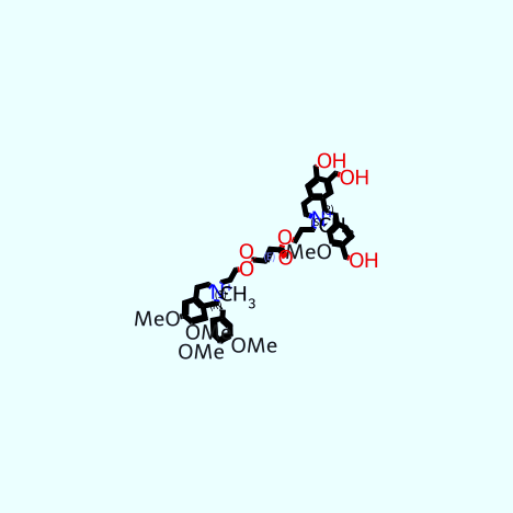 COc1cc(C[C@@H]2c3cc(CO)c(CO)cc3CC[N@@+]2(C)CCCOC(=O)/C=C/C(=O)OCCC[N@+]2(C)CCc3cc(OC)c(OC)cc3[C@H]2Cc2ccc(OC)c(OC)c2)ccc1CO